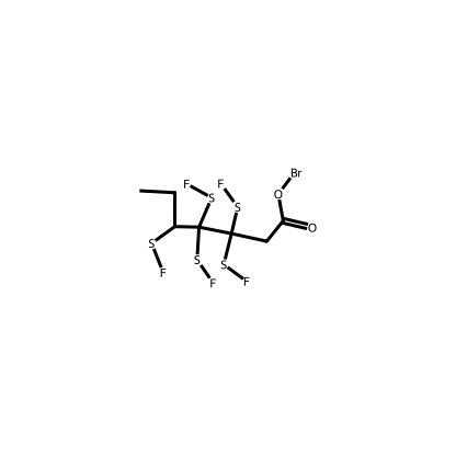 CCC(SF)C(SF)(SF)C(CC(=O)OBr)(SF)SF